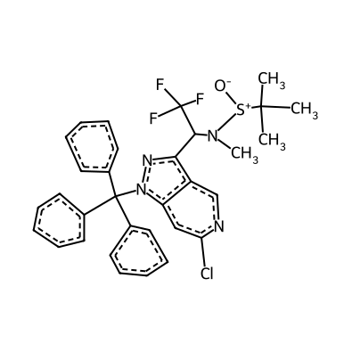 CN(C(c1nn(C(c2ccccc2)(c2ccccc2)c2ccccc2)c2cc(Cl)ncc12)C(F)(F)F)[S+]([O-])C(C)(C)C